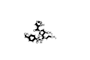 CCC[C@@H](NS(=O)(=O)c1ccc(CC)cc1)[C@H]1CN(C(=O)c2cnn[nH]2)C[C@H]1C